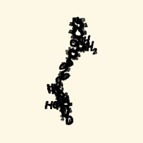 C[C@]12C=CC(=O)C=C1CC[C@@H]1[C@@H]2[C@@H](O)C[C@@]2(C)[C@H]1CC[C@]2(O)C(=N)COC(=O)CCC(=O)OCc1ccc([C@@H](CN)C(=O)Nc2ccc3cnccc3c2)cc1